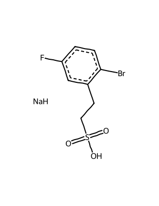 O=S(=O)(O)CCc1cc(F)ccc1Br.[NaH]